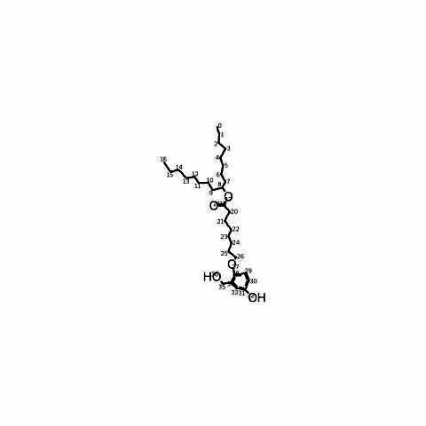 CCCCCCCCC(CCCCCCCC)OC(=O)CCCCCCCOc1ccc(O)cc1CO